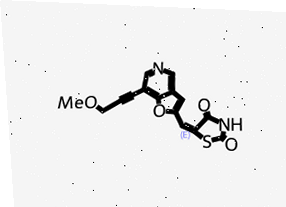 COCC#Cc1cncc2cc(/C=C3/SC(=O)NC3=O)oc12